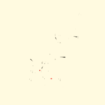 C=C(C)[C@@H]1CCC2(C(=O)N3C4CCC3CC(n3c(C)nnc3C(C)C)C4)CC[C@]3(C)[C@H](CC[C@@H]4[C@@]5(C)CC[C@H](OC(C)=O)C(C)(C)[C@@H]5CC[C@]43C)[C@@H]12